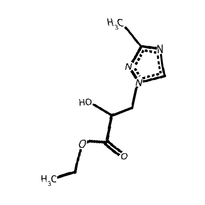 CCOC(=O)C(O)Cn1cnc(C)n1